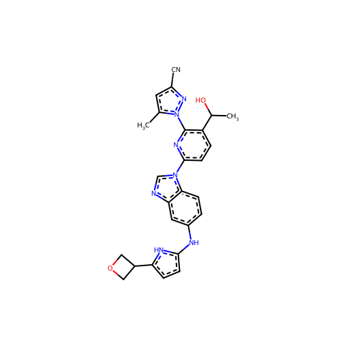 Cc1cc(C#N)nn1-c1nc(-n2cnc3cc(Nc4ccc(C5COC5)[nH]4)ccc32)ccc1C(C)O